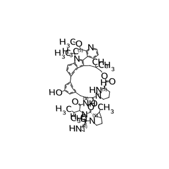 CCn1c(-c2cccnc2[C@H](C)OC)c2c3cc(ccc31)-c1cc(O)cc(c1)C[C@H](NC(=O)C(C(C)C)N(C)C(=O)[C@]13C(C)C1CCN3C(=O)[C@H]1CN1)C(=O)N1CCC[C@H](N1)C(=O)OCC(C)(C)C2